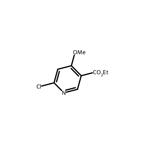 CCOC(=O)c1cnc(Cl)cc1OC